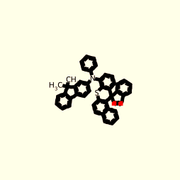 CC1(C)c2ccccc2-c2ccc(N(c3ccccc3)c3cccc4c3Sc3ccc5ccccc5c3C43c4ccccc4-c4ccccc43)cc21